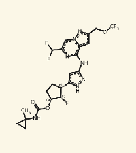 CC1(NC(=O)O[C@H]2CC[C@@H](c3cc(Nc4nc(C(F)F)cn5nc(COC(F)(F)F)cc45)n[nH]3)[C@H]2F)CC1